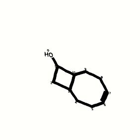 OC1CC2CC/C=C\CCC12